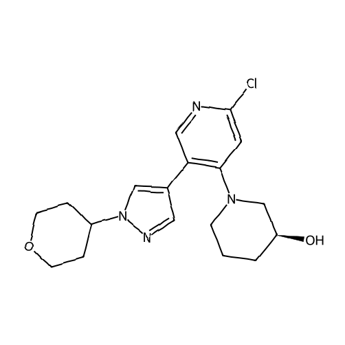 O[C@H]1CCCN(c2cc(Cl)ncc2-c2cnn(C3CCOCC3)c2)C1